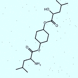 CC(C)CC(N)C(=O)OC1CCC(OC(=O)C(O)CC(C)C)CC1